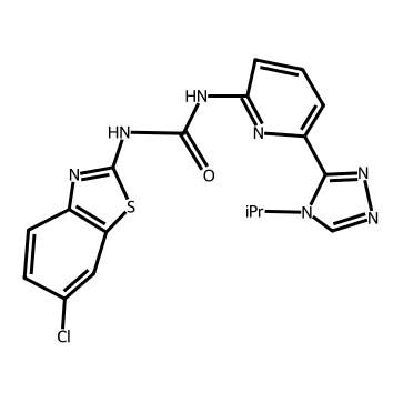 CC(C)n1cnnc1-c1cccc(NC(=O)Nc2nc3ccc(Cl)cc3s2)n1